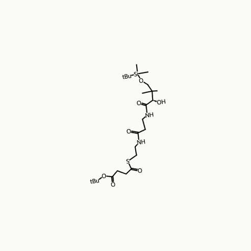 CC(C)(C)OC(=O)CCC(=O)SCCNC(=O)CCNC(=O)[C@H](O)C(C)(C)CO[Si](C)(C)C(C)(C)C